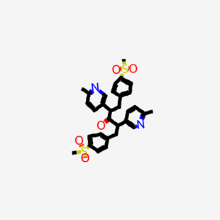 Cc1ccc(C(Cc2ccc(S(C)(=O)=O)cc2)C(=O)C(Cc2ccc(S(C)(=O)=O)cc2)c2ccc(C)nc2)cn1